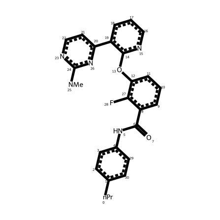 CCCc1ccc(NC(=O)c2cccc(Oc3ncccc3-c3ccnc(NC)n3)c2F)cc1